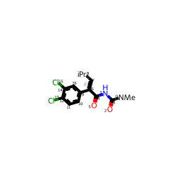 CNC(=O)NC(=O)/C(=C/C(C)C)c1ccc(Cl)c(Cl)c1